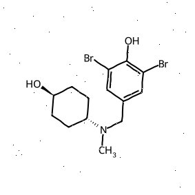 CN(Cc1cc(Br)c(O)c(Br)c1)[C@H]1CC[C@H](O)CC1